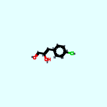 O=C/C(O)=C/c1ccc(Cl)cc1